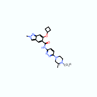 C[C@H]1CN(c2ccc(NC(=O)c3cc4cn(C)nc4cc3OC3CCC3)nn2)CCN1C(=O)O